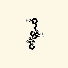 NC(=O)C12C(=O)CN(S(=O)(=O)C(=O)c3ccccn3)C1CCN2C(=O)[CH]Cc1cccc(O)c1